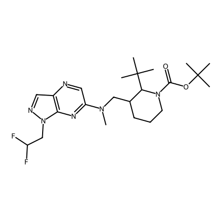 CN(CC1CCCN(C(=O)OC(C)(C)C)C1C(C)(C)C)c1cnc2cnn(CC(F)F)c2n1